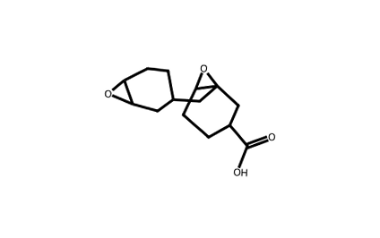 O=C(O)C1CCC2OC2(CC2CCC3OC3C2)C1